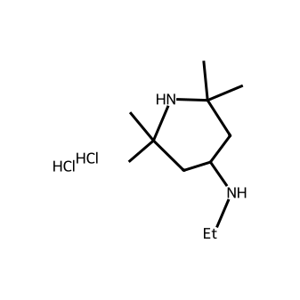 CCNC1CC(C)(C)NC(C)(C)C1.Cl.Cl